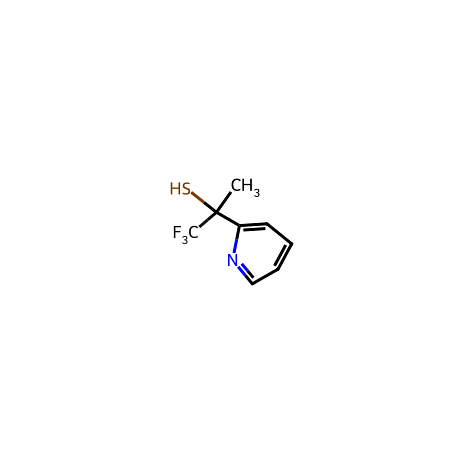 CC(S)(c1ccccn1)C(F)(F)F